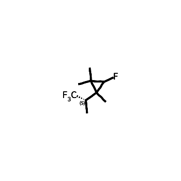 C[C@H](C(F)(F)F)C1(C)C(F)C1(C)C